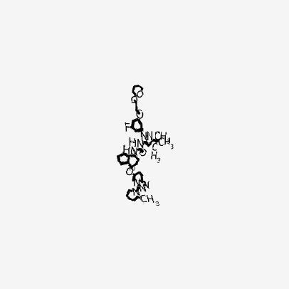 CC1CCCCN1c1nnc2ccc(O[C@@H]3CC[C@H](NC(=O)Nc4cc(C(C)(C)C)nn4-c4cc(F)cc(OCCOC5CCCCO5)c4)c4ccccc43)cn12